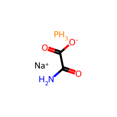 NC(=O)C(=O)[O-].P.[Na+]